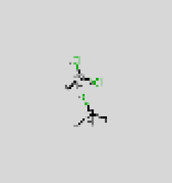 C[SiH](C)Cl.C[SiH](Cl)Cl